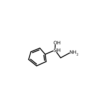 NC[SiH](O)c1ccccc1